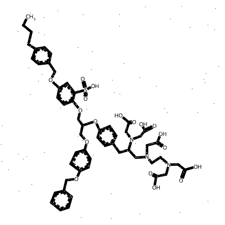 CCCCc1ccc(COc2ccc(OCC(COc3ccc(OCc4ccccc4)cc3)Oc3ccc(CC(CN(CCN(CC(=O)O)CC(=O)O)CC(=O)O)N(CC(=O)O)CC(=O)O)cc3)c(S(=O)(=O)O)c2)cc1